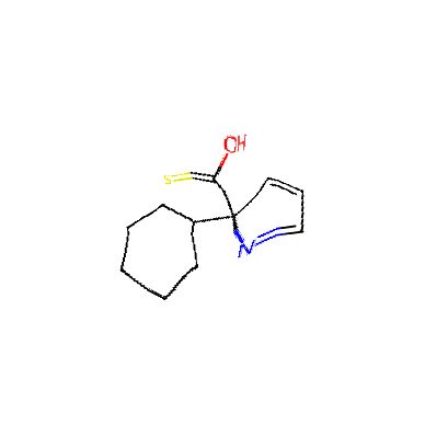 OC(=S)C1(C2CCCCC2)C=CC=N1